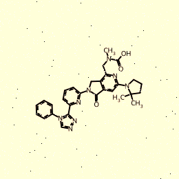 CN(Cc1nc(N2CCCC2(C)C)cc2c1CN(c1cccc(-c3nncn3-c3ccccc3)n1)C2=O)C(=O)O